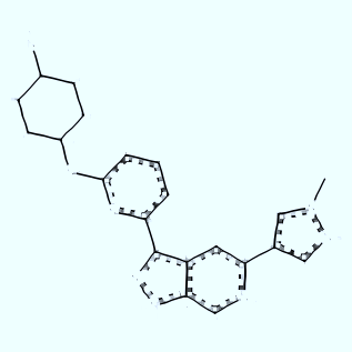 Cn1cc(-c2cc3c(-c4cccc(NC5CCC(N)CC5)n4)n[nH]c3cn2)cn1